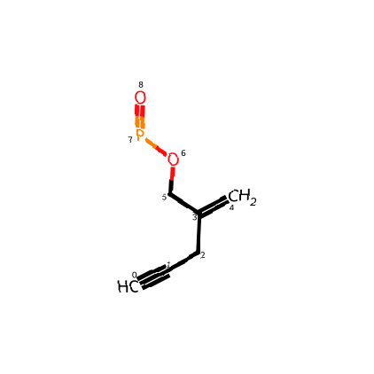 C#CCC(=C)COP=O